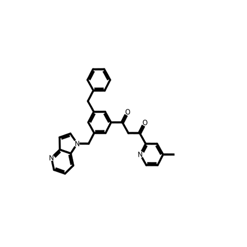 Cc1ccnc(C(=O)CC(=O)c2cc(Cc3ccccc3)cc(Cn3ccc4ncccc43)c2)c1